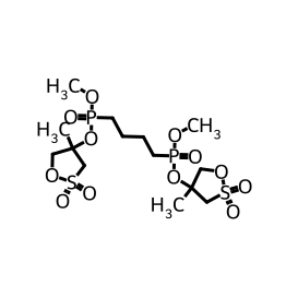 COP(=O)(CCCCP(=O)(OC)OC1(C)COS(=O)(=O)C1)OC1(C)COS(=O)(=O)C1